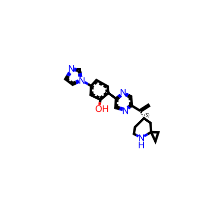 C=C(c1cnc(-c2ccc(-n3ccnc3)cc2O)cn1)[C@H]1CCNC2(CC2)C1